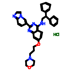 Cl.c1ccc(C(CNc2nc(-c3ccc4nccn4c3)nc3cc(OCCCN4CCOCC4)ccc23)c2ccccc2)cc1